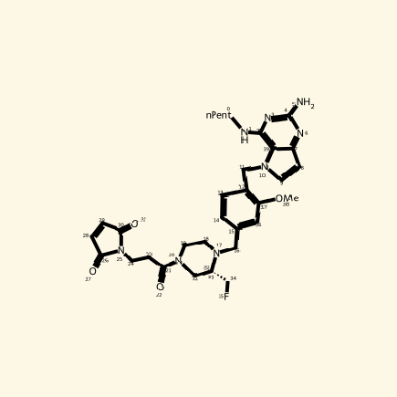 CCCCCNc1nc(N)nc2ccn(Cc3ccc(CN4CCN(C(=O)CCN5C(=O)C=CC5=O)C[C@H]4CF)cc3OC)c12